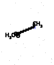 CC/C=C\CCCCCCCCCCCC(=O)OCC